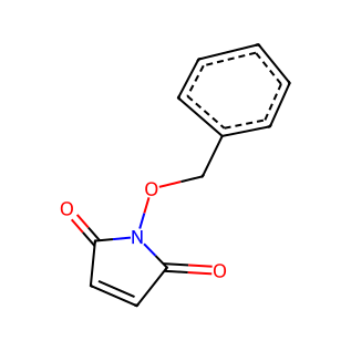 O=C1C=CC(=O)N1OCc1ccccc1